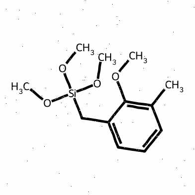 COc1c(C)cccc1C[Si](OC)(OC)OC